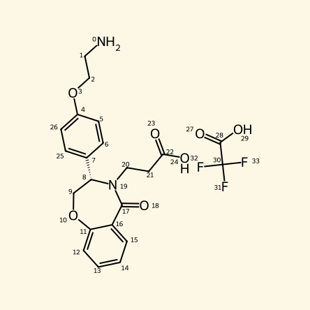 NCCOc1ccc([C@H]2COc3ccccc3C(=O)N2CCC(=O)O)cc1.O=C(O)C(F)(F)F